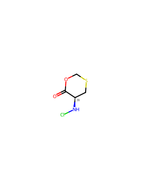 O=C1OCSC[C@H]1NCl